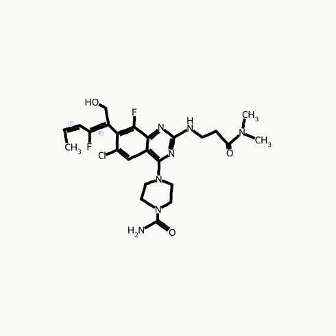 C/C=C\C(F)=C(/CO)c1c(Cl)cc2c(N3CCN(C(N)=O)CC3)nc(NCCC(=O)N(C)C)nc2c1F